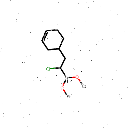 CCO[SiH](OCC)C(Cl)CC1CC=CCC1